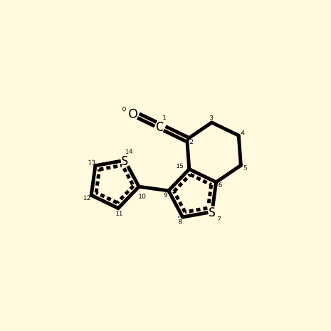 O=C=C1CCCc2s[c]c(-c3cccs3)c21